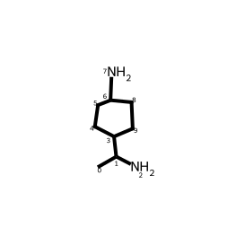 CC(N)C1CCC(N)CC1